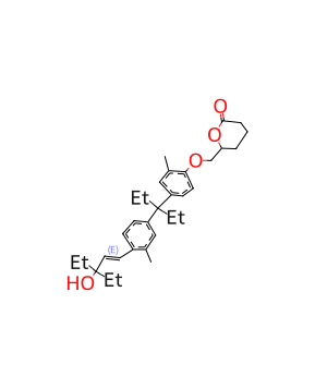 CCC(O)(/C=C/c1ccc(C(CC)(CC)c2ccc(OCC3CCCC(=O)O3)c(C)c2)cc1C)CC